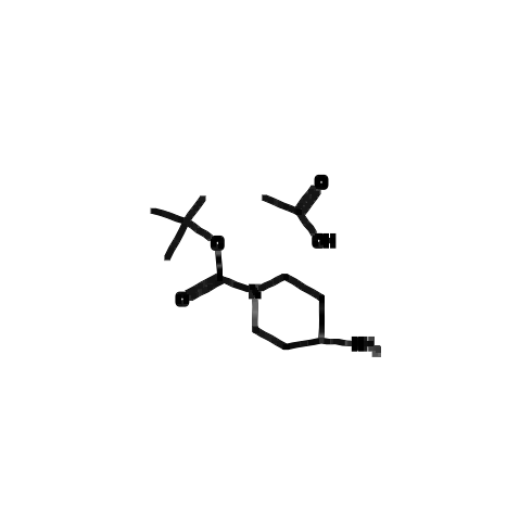 CC(=O)O.CC(C)(C)OC(=O)N1CCC(N)CC1